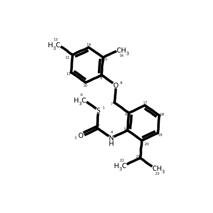 CSC(=O)Nc1c(COc2ccc(C)cc2C)cccc1C(C)C